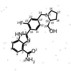 NC(=O)c1cccc2[nH]c(-c3ccc(CN4CCC[C@H]4CO)cc3F)nc12